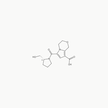 O=C(O)c1cc(C(=O)N2CCC[C@@H]2CO)n2c1COCC2